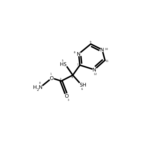 NOC(=O)C(S)(S)c1ncncn1